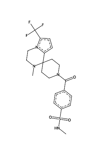 CNS(=O)(=O)c1ccc(C(=O)N2CCC3(CC2)c2ccc(C(F)(F)F)n2CCN3C)cc1